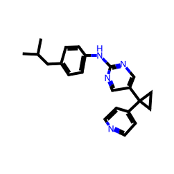 CC(C)Cc1ccc(Nc2ncc(C3(c4ccncc4)CC3)cn2)cc1